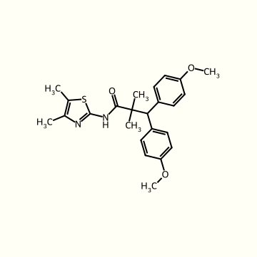 COc1ccc(C(c2ccc(OC)cc2)C(C)(C)C(=O)Nc2nc(C)c(C)s2)cc1